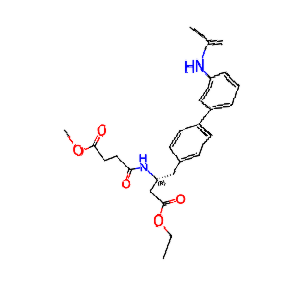 C=C(C)Nc1cccc(-c2ccc(C[C@H](CC(=O)OCC)NC(=O)CCC(=O)OC)cc2)c1